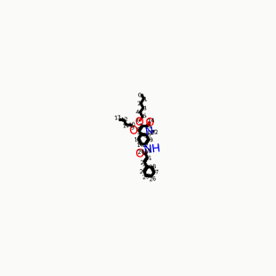 CCCCCCOc1c(OCCCC)c2ccc(NC(=O)/C=C/c3ccccc3)cc2n(C)c1=O